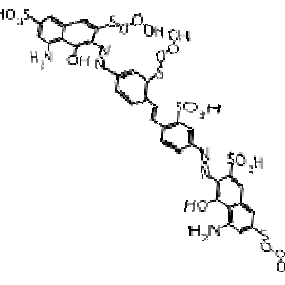 Nc1cc(S(=O)(=O)O)cc2cc(SOOO)c(N=Nc3ccc(C=Cc4ccc(N=Nc5c(S(=O)(=O)O)cc6cc(SOOO)cc(N)c6c5O)cc4S(=O)(=O)O)c(SOOO)c3)c(O)c12